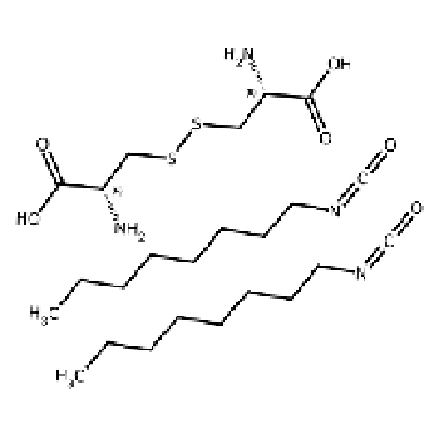 CCCCCCCCN=C=O.CCCCCCCCN=C=O.N[C@@H](CSSC[C@H](N)C(=O)O)C(=O)O